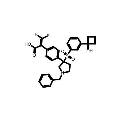 O=C(O)C(=C(F)F)c1ccc(C2(S(=O)(=O)c3cccc(C4(O)CCC4)c3)CCN(Cc3ccccc3)C2)cc1